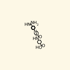 N=C(N)c1ccc(N2CCN(C(=O)NC3CCC(C(=O)O)CC3)CC2)cc1